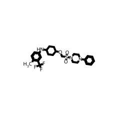 Cc1ccc(NC2CCC(OCS(=O)(=O)N3CCN(c4ccccc4)CC3)CC2)cc1C(F)(F)F